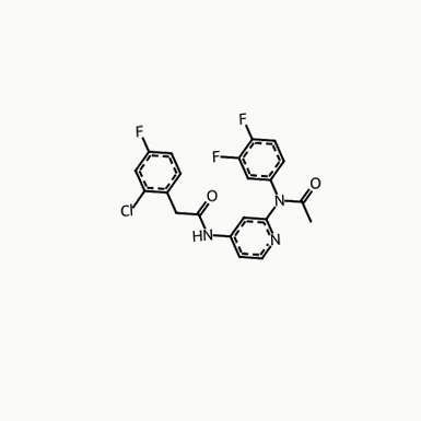 CC(=O)N(c1ccc(F)c(F)c1)c1cc(NC(=O)Cc2ccc(F)cc2Cl)ccn1